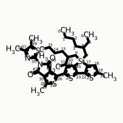 CCCCC(CC)C[Si]1(CC(CC)CCCC)c2cc(C)sc2-c2sc(-c3sc(C)c4c3C(=O)N(c3nc(C)c(C)s3)C4=O)cc21